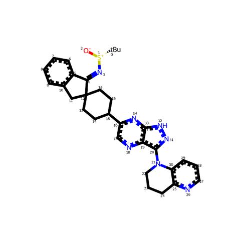 CC(C)(C)[S@@+]([O-])N=C1c2ccccc2CC12CCC(c1cnc3c(N4CCCc5ncccc54)n[nH]c3n1)CC2